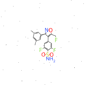 Cc1cc(C)cc(-c2noc(CF)c2-c2cc(F)c(S(N)(=O)=O)c(F)c2)c1